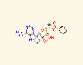 Nc1ncnc2c1ncn2[C@@H]1O[C@H](C([SiH3])OC(=O)c2ccccc2)[C@@H](O)[C@]1(O)[SiH3]